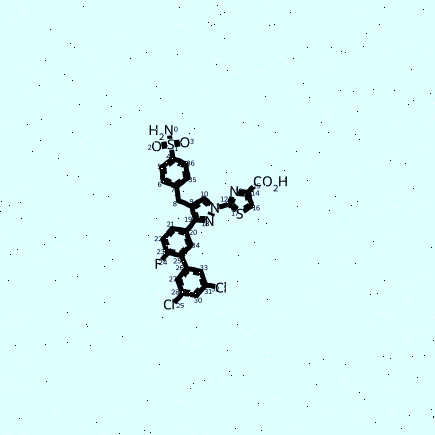 NS(=O)(=O)c1ccc(Cc2cn(-c3nc(C(=O)O)cs3)nc2-c2ccc(F)c(-c3cc(Cl)cc(Cl)c3)c2)cc1